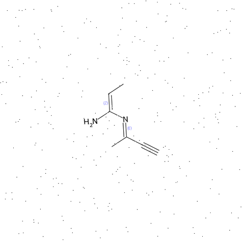 C#C/C(C)=N/C(N)=C\C